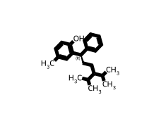 Cc1ccc(O)c([C@H](CC[C](C(C)C)C(C)C)c2ccccc2)c1